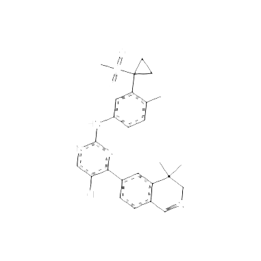 CC1(C)CN=Cc2ccc(-c3nc(Nc4ccc(F)c(C5(S(C)(=O)=O)CC5)c4)ncc3Cl)cc21